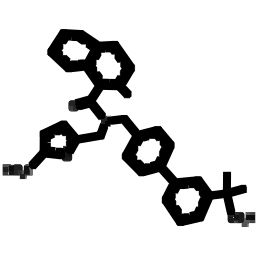 CCOC(=O)c1ccc(CN(Cc2ccc(-c3cccc(C(C)(C)C(=O)O)c3)cc2)C(=O)c2c(C)ccc3ccccc23)o1